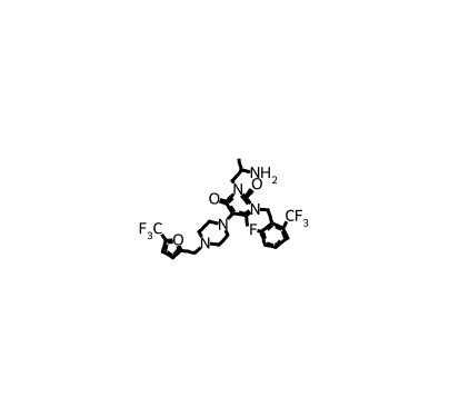 Cc1c(N2CCN(Cc3ccc(C(F)(F)F)o3)CC2)c(=O)n(CC(C)N)c(=O)n1Cc1c(F)cccc1C(F)(F)F